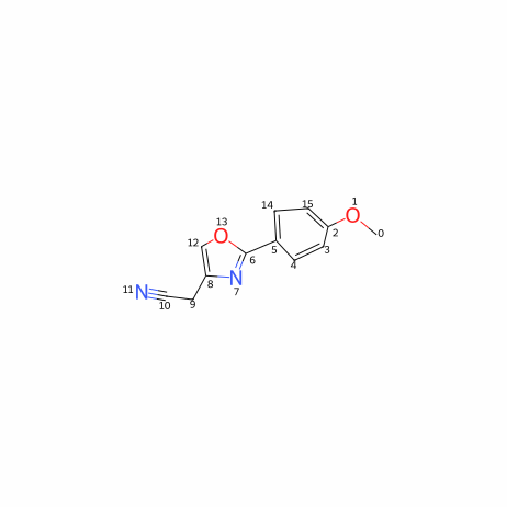 COc1ccc(-c2nc(CC#N)co2)cc1